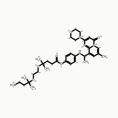 Cc1cc(C(C)Nc2ccc(OC(=O)CCC(C)(C)OCCOC(C)(C)CCN)cc2)c2nc(N3CCOCC3)cc(=O)n2c1